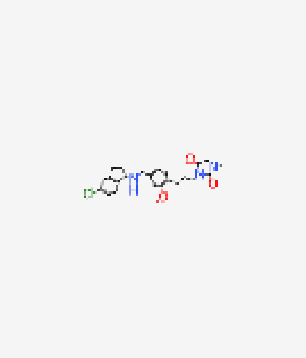 COc1cc(CNC2CCc3cc(Cl)ccc32)ccc1CCCN1C(=O)CN(C)C1=O